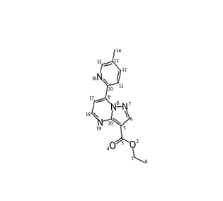 CCOC(=O)c1cnn2c(-c3ccc(C)cn3)ccnc12